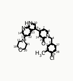 Cc1cc(Cn2ccc(-c3c[nH]c4ncc(N5CCOCC5)cc34)cc2=O)ccc1Cl